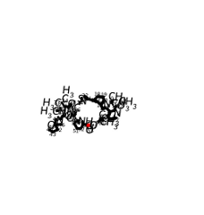 CCn1c(-c2cccnc2[C@H](C)OC)c2c3cc(ccc31)-c1csc(n1)C[C@H](NC(=O)[C@H](C(C)C)N(C)C(=O)N1CC3(CCCO3)C1)C(=O)N1CCC[C@](C=O)(COCC(C)(C)C2)N1